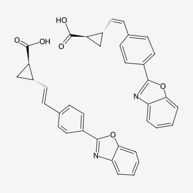 O=C(O)[C@@H]1C[C@H]1/C=C/c1ccc(-c2nc3ccccc3o2)cc1.O=C(O)[C@@H]1C[C@H]1/C=C\c1ccc(-c2nc3ccccc3o2)cc1